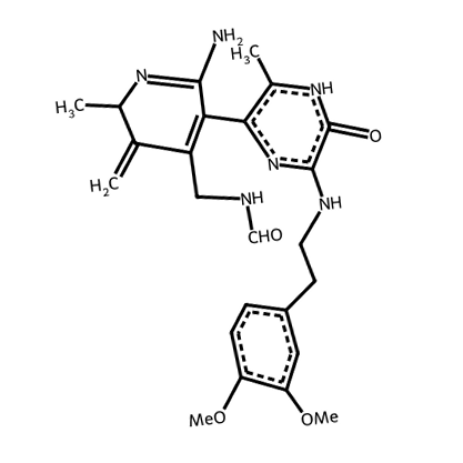 C=C1C(CNC=O)=C(c2nc(NCCc3ccc(OC)c(OC)c3)c(=O)[nH]c2C)C(N)=NC1C